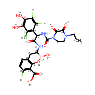 CCN1CCN(C(=O)NC(C(=O)NC2Cc3ccc(F)c(C(=O)O)c3OB2O)c2c(F)c(F)c(O)c(O)c2Cl)C(=O)C1=O